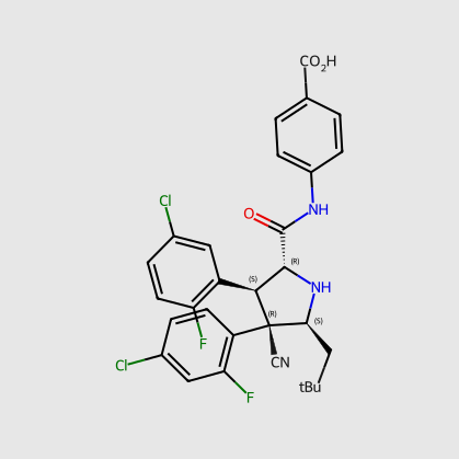 CC(C)(C)C[C@@H]1N[C@@H](C(=O)Nc2ccc(C(=O)O)cc2)[C@H](c2cc(Cl)ccc2F)[C@@]1(C#N)c1ccc(Cl)cc1F